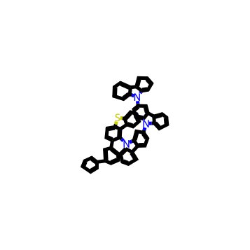 c1ccc(-c2cccc(-c3ccc4sc5ccccc5c4c3-n3c4ccccc4c4ccc(-n5c6ccccc6c6cc(-n7c8ccccc8c8ccccc87)ccc65)cc43)c2)cc1